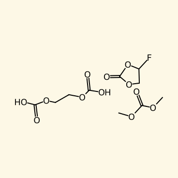 COC(=O)OC.O=C(O)OCCOC(=O)O.O=C1OCC(F)O1